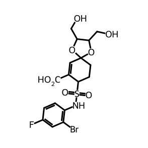 O=C(O)C1=CC2(CCC1S(=O)(=O)Nc1ccc(F)cc1Br)OC(CO)C(CO)O2